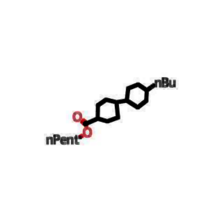 CCCCCOC(=O)C1CCC(C2CCC(CCCC)CC2)CC1